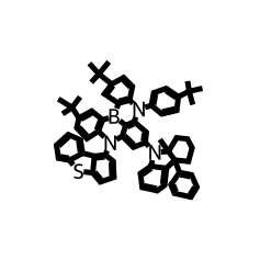 CC(C)(C)c1ccc(N2c3ccc(C(C)(C)C)cc3B3c4cc(C(C)(C)C)ccc4N(c4cccc5sc6ccccc6c45)c4cc(N5c6ccccc6C6(c7ccccc7)CCCCC56C)cc2c43)cc1